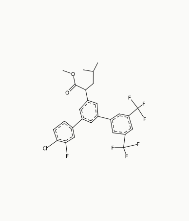 COC(=O)C(CC(C)C)c1cc(-c2cc(C(F)(F)F)cc(C(F)(F)F)c2)cc(-c2ccc(Cl)c(F)c2)c1